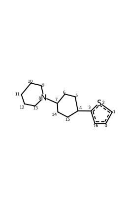 c1csc(C2CCC(N3CCCCC3)CC2)c1